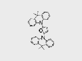 CC1(C)c2ccccc2N(c2ccc(N3c4ccccc4C(C)(C)c4ccccc43)o2)c2ccccc21